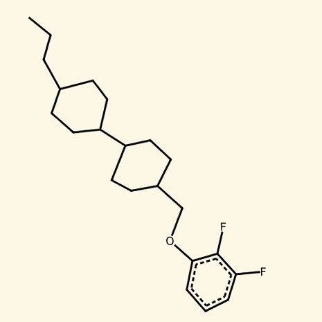 CCCC1CCC(C2CCC(COc3cccc(F)c3F)CC2)CC1